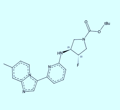 Cc1ccn2c(-c3cccc(N[C@H]4CN(C(=O)OC(C)(C)C)C[C@@H]4F)n3)cnc2c1